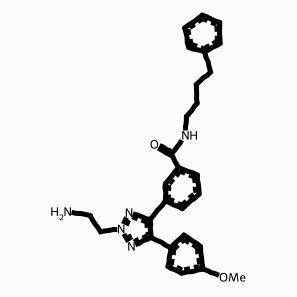 COc1ccc(-c2nn(CCN)nc2-c2cccc(C(=O)NCCCCc3ccccc3)c2)cc1